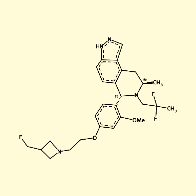 COc1cc(OCCN2CC(CF)C2)ccc1[C@@H]1c2ccc3[nH]ncc3c2C[C@@H](C)N1CC(C)(F)F